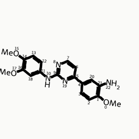 COc1ccc(-c2ccnc(Nc3ccc(OC)c(OC)c3)n2)cc1N